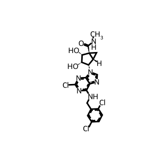 CNC(=O)[C@@]12C[C@@H]1[C@H](n1cnc3c(NCc4cc(Cl)ccc4Cl)nc(Cl)nc31)[C@H](O)[C@@H]2O